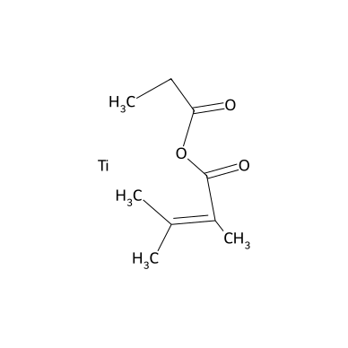 CCC(=O)OC(=O)C(C)=C(C)C.[Ti]